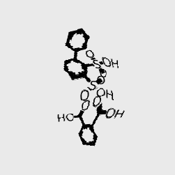 O=C(O)c1ccccc1C(=O)O.O=S(=O)(O)c1cccc(-c2ccccc2)c1S(=O)(=O)O